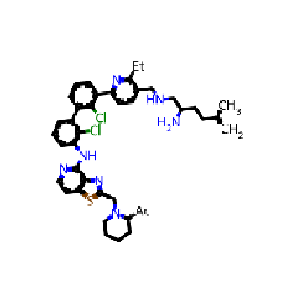 C=C(C)CCC(N)CNCc1ccc(-c2cccc(-c3cccc(Nc4nccc5sc(CN6CCCCC6C(C)=O)nc45)c3Cl)c2Cl)nc1CC